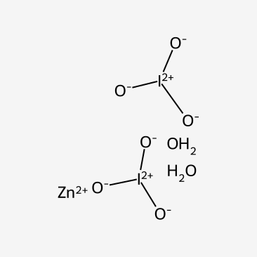 O.O.[O-][I+2]([O-])[O-].[O-][I+2]([O-])[O-].[Zn+2]